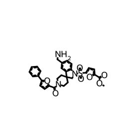 COC(=O)c1ccc(S(=O)(=O)N2CC3(CCN(C(=O)c4ccc(-c5ccccc5)o4)CC3)c3cc(CN)ccc32)o1